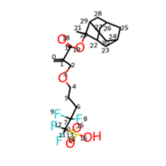 C=C(COCCCC(F)(F)C(F)(F)S(=O)(=O)O)C(=O)OC1(C)C2CC3CC(C2)CC1C3